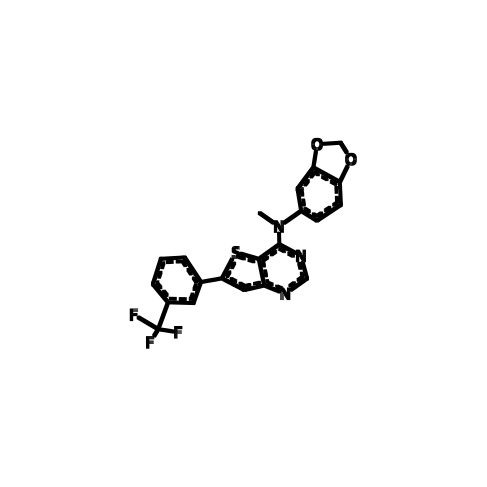 CN(c1ccc2c(c1)OCO2)c1ncnc2cc(-c3cccc(C(F)(F)F)c3)sc12